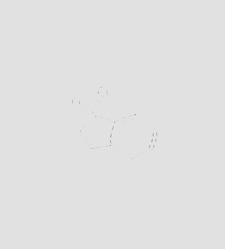 O=S1(=O)C=Cc2ccccc21